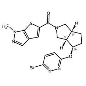 Cn1ncc2cc(C(=O)N3C[C@@H]4CC[C@@H](Oc5ccc(Br)nn5)[C@@H]4C3)sc21